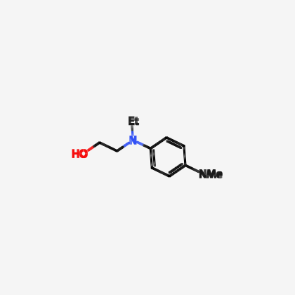 CCN(CCO)c1ccc(NC)cc1